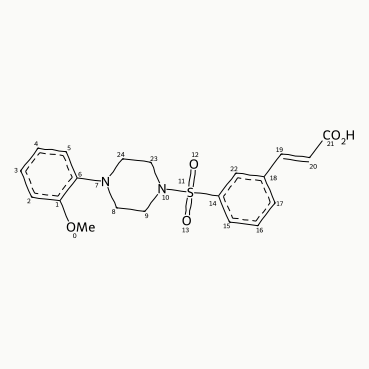 COc1ccccc1N1CCN(S(=O)(=O)c2cccc(/C=C/C(=O)O)c2)CC1